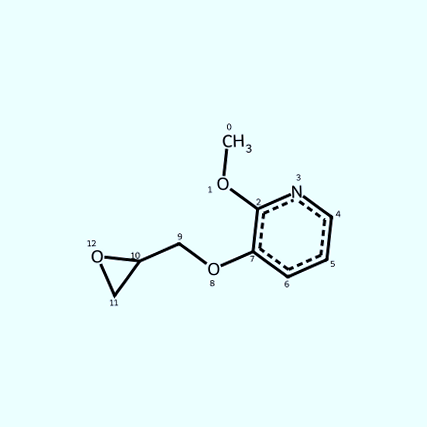 COc1ncccc1OCC1CO1